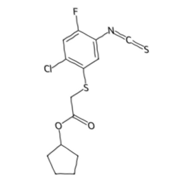 O=C(CSc1cc(N=C=S)c(F)cc1Cl)OC1CCCC1